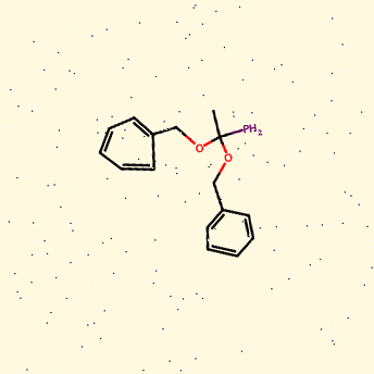 CC(P)(OCc1ccccc1)OCc1ccccc1